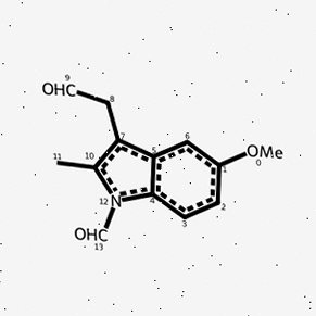 COc1ccc2c(c1)c(CC=O)c(C)n2C=O